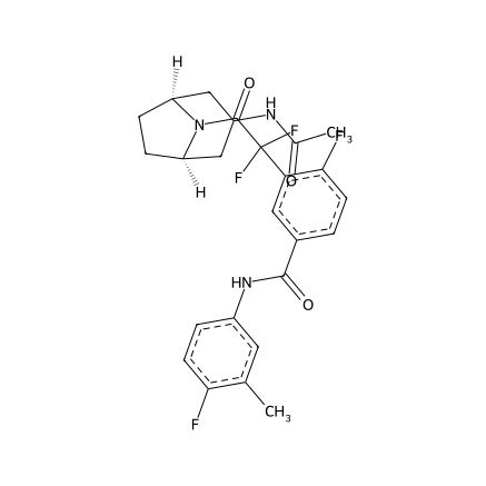 CC(=O)NC1C[C@H]2CC[C@@H](C1)N2C(=O)C(F)(F)c1cc(C(=O)Nc2ccc(F)c(C)c2)ccc1F